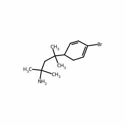 CC(C)(N)CC(C)(C)C1C=CC(Br)=CC1